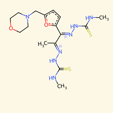 CNC(=S)N/N=C(/C(C)=N/NC(=S)NC)c1ccc(CN2CCOCC2)o1